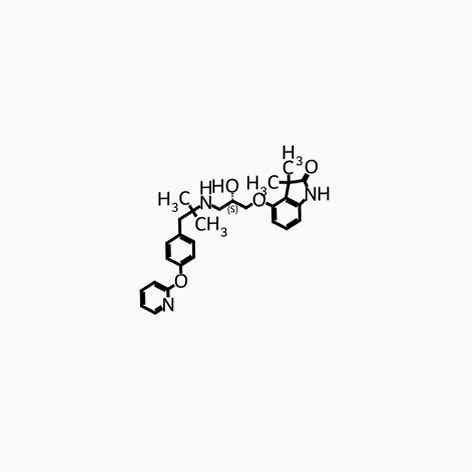 CC(C)(Cc1ccc(Oc2ccccn2)cc1)NC[C@H](O)COc1cccc2c1C(C)(C)C(=O)N2